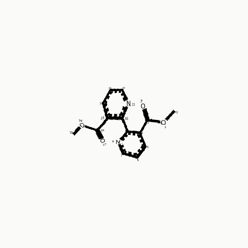 COC(=O)c1cccnc1-c1ncccc1C(=O)OC